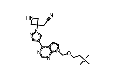 CS(C)(C)CCOCn1ccc2c(-c3cnn(C4(CC#N)CNC4)c3)ncnc21